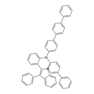 c1ccc(-c2ccc(-c3ccc(N(c4ccc(-c5ccccc5)cc4)c4ccccc4-c4oc5ccccc5c4-c4ccccc4)cc3)cc2)cc1